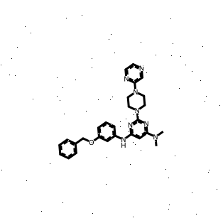 CN(C)c1cc(Nc2cccc(OCc3ccccc3)c2)nc(N2CCN(c3cnccn3)CC2)n1